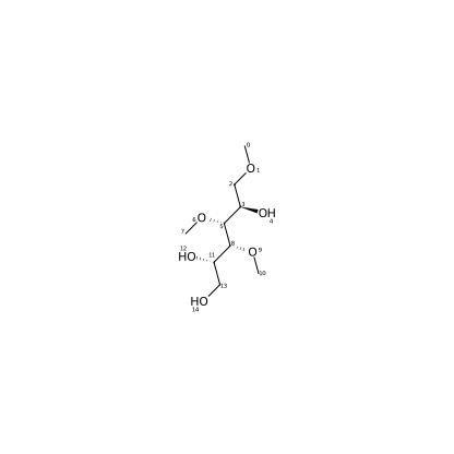 COC[C@@H](O)[C@@H](OC)[C@H](OC)[C@@H](O)CO